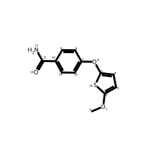 COc1ccc(Oc2ccc(C(N)=O)cc2)s1